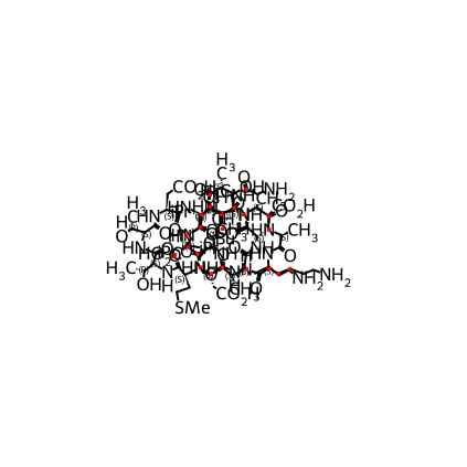 CC[C@H](C)[C@H](NC(=O)[C@H](C)NC(=O)[C@H](CCCCN)NC(=O)[C@H](C)NC(=O)[C@H](C)NC(=O)[C@H](C)NC(=O)[C@H](C)NC(=O)CN)C(=O)N[C@@H](CCSC)C(=O)N[C@H](C(=O)N[C@H](C(=O)N[C@@H](CC(=O)O)C(=O)N[C@H](C(=O)N[C@H](C(=O)N[C@@H](CC(=O)O)C(=O)N[C@@H](CCCCN)C(=O)N[C@@H](CCC(=O)O)C(=O)N[C@H](C(=O)N[C@H](C(=O)N[C@H](C(=O)O)C(C)C)C(C)C)[C@@H](C)O)C(C)C)[C@@H](C)O)[C@@H](C)O)[C@@H](C)O